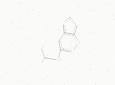 CC(C)Nc1cc2sccc2nn1